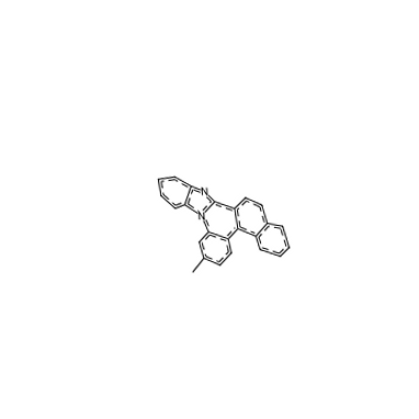 Cc1ccc2c3c4ccccc4ccc3c3nc4ccccc4n3c2c1